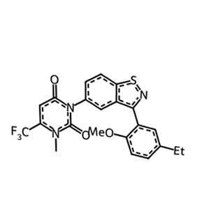 CCc1ccc(OC)c(-c2nsc3ccc(-n4c(=O)cc(C(F)(F)F)n(C)c4=O)cc23)c1